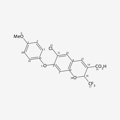 COc1ccc(Oc2cc3c(cc2Cl)C=C(C(=O)O)C(C(F)(F)F)O3)cc1